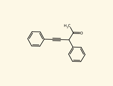 CC(=O)C(C#Cc1ccccc1)c1ccccc1